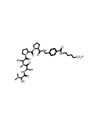 CC(C)C(NC(=O)C(C(C)C)N(C)C)C(=O)N(C)C(C(=O)N1CCCC1C(=O)N1CCCC1C(=O)NCc1ccc(C(=O)NCCCCC(=O)O)cc1)C(C)C